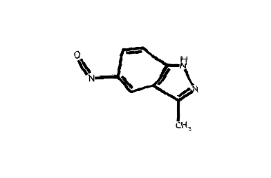 Cc1n[nH]c2ccc(N=O)cc12